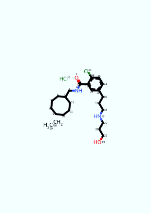 Cl.O=C(NC[C]1CCCCCCC1)c1cc(CCCNCCCO)ccc1Cl.[CH2].[CH2]